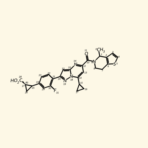 CC1c2ccsc2CCN1C(=O)c1cc(C2CC2)n2nc(-c3ccc(C4C[C@H]4C(=O)O)cc3F)cc2n1